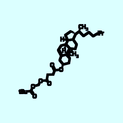 CC(C)CCC[C@@H](C)[C@H]1CC[C@@H]2C1CC[C@H]1[C@H]2CC=C2C[C@@H](OC(=O)CCC(=O)OCOC(=O)C(C)(C)C)CC[C@@]21C